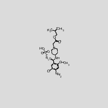 COc1cc(N)c(Cl)cc1C(=O)NC1CCN(CC(=O)OCC(C)C)CC1.CS(=O)(=O)O